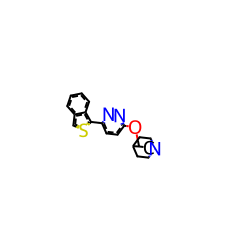 c1ccc2c(-c3ccc(OC4CN5CCC4CC5)nn3)scc2c1